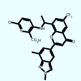 Cc1cc(-c2cc(=O)c3cc(C(F)(F)F)cc(C(C)Nc4ccc(Cl)nc4C(=O)O)c3o2)cc2cn(C)nc12